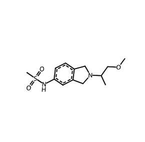 COCC(C)N1Cc2ccc(NS(C)(=O)=O)cc2C1